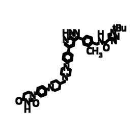 Cc1cc(-c2n[nH]c3ncc(-c4ccc(N5CCN(CC6CCN(c7ccc(N8CCC(=O)NC8=O)cc7)CC6)CC5)cc4)cc23)ccc1CNC(=O)c1cn(C(C)(C)C)nn1